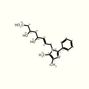 Cc1nc(-c2ccccc2)n(C/C=C/C(O)CC(O)CC(=O)O)c1C